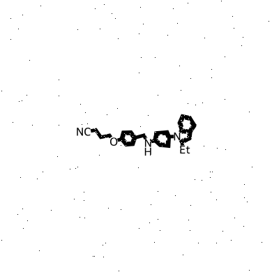 CCc1cc2ccccc2n1-c1ccc(NCc2ccc(OCCCC#N)cc2)cc1